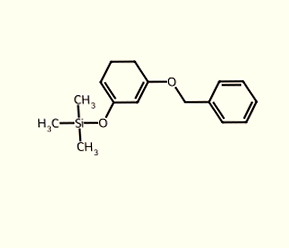 C[Si](C)(C)OC1=CCCC(OCc2ccccc2)=C1